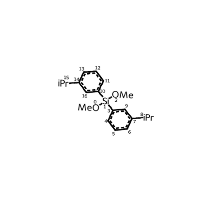 CO[Si](OC)(c1cccc(C(C)C)c1)c1cccc(C(C)C)c1